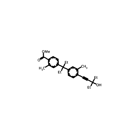 CCC(O)(C#Cc1ccc(C(CC)(CC)c2ccc(C(=O)OC)c(C)c2)cc1C)CC